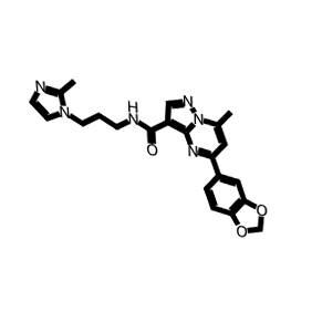 Cc1nccn1CCCNC(=O)c1cnn2c(C)cc(-c3ccc4c(c3)OCO4)nc12